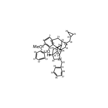 COc1ccc2c(c1Oc1ccccc1)C13CCN(CC4CC4)C(C2)C12CCC1C3[C@H](CN1Cc1ccccc1)C2